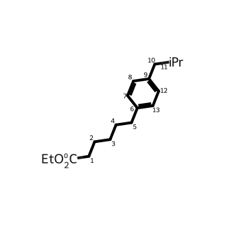 CCOC(=O)CCCCCc1ccc(CC(C)C)cc1